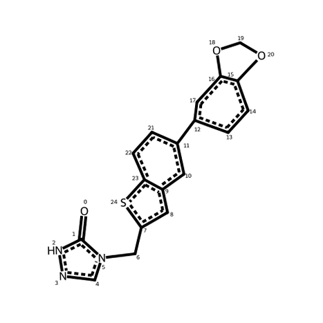 O=c1[nH]ncn1Cc1cc2cc(-c3ccc4c(c3)OCO4)ccc2s1